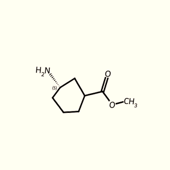 COC(=O)C1CCC[C@H](N)C1